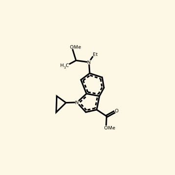 CCN(c1ccc2c(C(=O)OC)cn(C3CC3)c2c1)C(C)OC